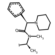 C[C@@H](I)N(C)C(=O)[C@@H](c1ccccc1)N1CCCCC1